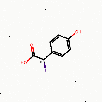 O=C(O)[C@H](I)c1ccc(O)cc1